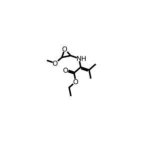 CCOC(=O)C(NC1OC1OC)=C(C)C